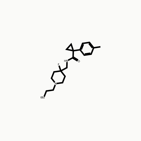 Cc1ccc(C2(C(=O)NCC3(F)CCN(CCC(C)(C)C)CC3)CC2)cc1